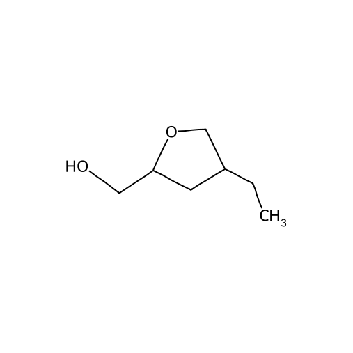 CCC1COC(CO)C1